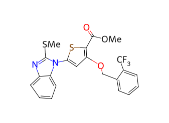 COC(=O)c1sc(-n2c(SC)nc3ccccc32)cc1OCc1ccccc1C(F)(F)F